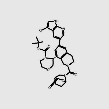 CC(C)(C)OC(=O)N1CCOC[C@H]1c1cc(-c2cnc3[nH]cc(Cl)c3c2)cc2c1CN(C(=O)N1CC3CCC1CC3=O)CC2